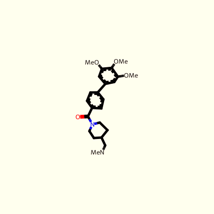 CNCC1CCN(C(=O)c2ccc(-c3cc(OC)c(OC)c(OC)c3)cc2)CC1